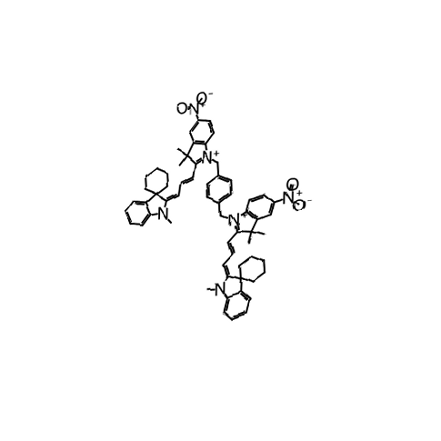 CN1/C(=C/C=C/C2=[N+](Cc3ccc(C[N+]4=C(/C=C/C=C5/N(C)c6ccccc6C56CCCCC6)C(C)(C)c5cc([N+](=O)[O-])ccc54)cc3)c3ccc([N+](=O)[O-])cc3C2(C)C)C2(CCCCC2)c2ccccc21